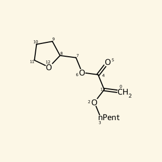 C=C(OCCCCC)C(=O)OCC1CCCO1